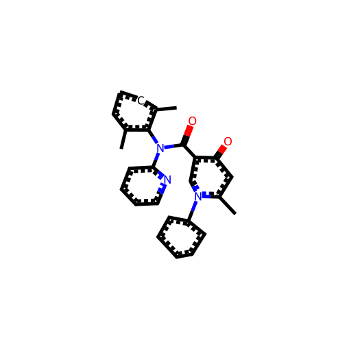 Cc1cccc(C)c1N(C(=O)c1cn(-c2ccccc2)c(C)cc1=O)c1ccccn1